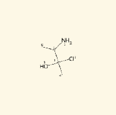 CC(N)C(C)(O)Cl